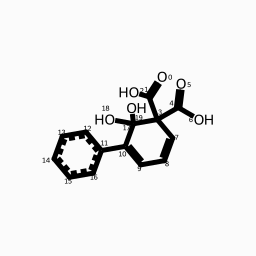 O=C(O)C1(C(=O)O)C=CC=C(c2ccccc2)C1(O)O